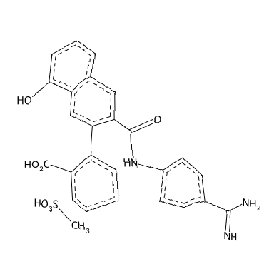 CS(=O)(=O)O.N=C(N)c1ccc(NC(=O)c2cc3cccc(O)c3cc2-c2ccccc2C(=O)O)cc1